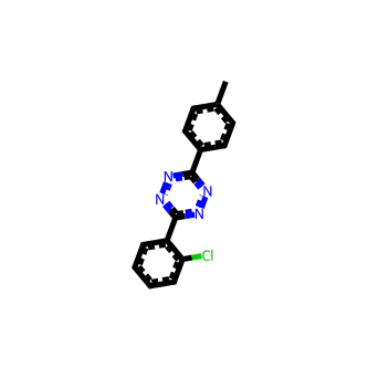 Cc1ccc(-c2nnc(-c3ccccc3Cl)nn2)cc1